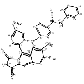 CCCCc1ccc(-c2c3c(cc4cc(F)c(C(C)(C)C)c(Oc5ccc(C(=O)Nc6ccccc6)cc5)c24)C(=N)NC3=N)cc1